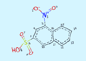 O=[N+]([O-])c1cc(S(=O)(=O)O)cc2ccccc12